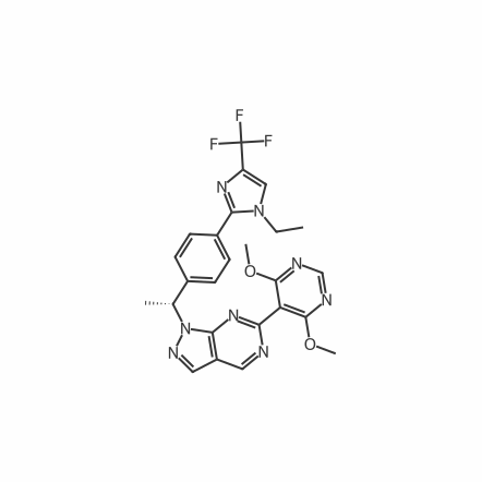 CCn1cc(C(F)(F)F)nc1-c1ccc([C@@H](C)n2ncc3cnc(-c4c(OC)ncnc4OC)nc32)cc1